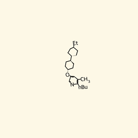 CCCCc1ncc(O[C@H]2CC[C@H]([C@H]3CC[C@H](CC)CC3)CC2)cc1C